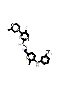 Cc1nc(/C=N/Nc2ncc(F)c(N3CCOC(C)C3)n2)ccc1Nc1cccc(C(F)(F)F)c1